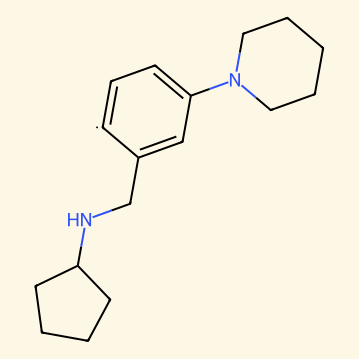 [c]1ccc(N2CCCCC2)cc1CNC1CCCC1